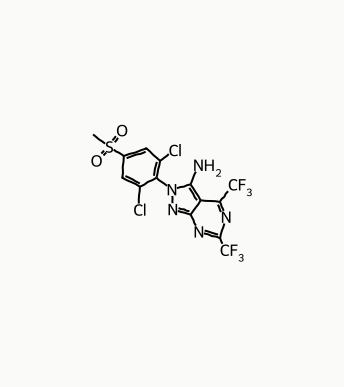 CS(=O)(=O)c1cc(Cl)c(-n2nc3nc(C(F)(F)F)nc(C(F)(F)F)c3c2N)c(Cl)c1